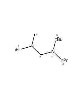 CCCN(CC(C)C(C)C)C(C)(C)C